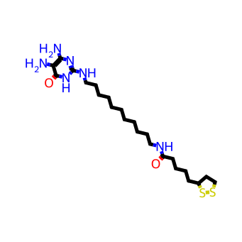 Nc1nc(NCCCCCCCCCCCNC(=O)CCCCC2CCSS2)[nH]c(=O)c1N